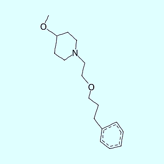 COC1CCN(CCOCCCc2ccccc2)CC1